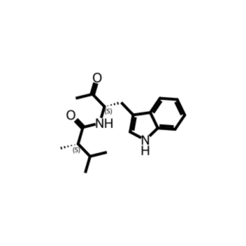 CC(=O)[C@H](Cc1c[nH]c2ccccc12)NC(=O)[C@@H](C)C(C)C